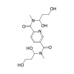 CN(C(=O)c1ccc(C(=O)N(C)C(O)CCO)nc1)C(O)CCO